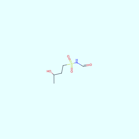 CC(O)CCS(=O)(=O)NC=O